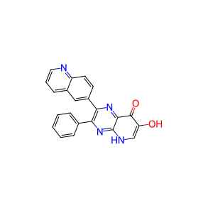 O=c1c(O)c[nH]c2nc(-c3ccccc3)c(-c3ccc4ncccc4c3)nc12